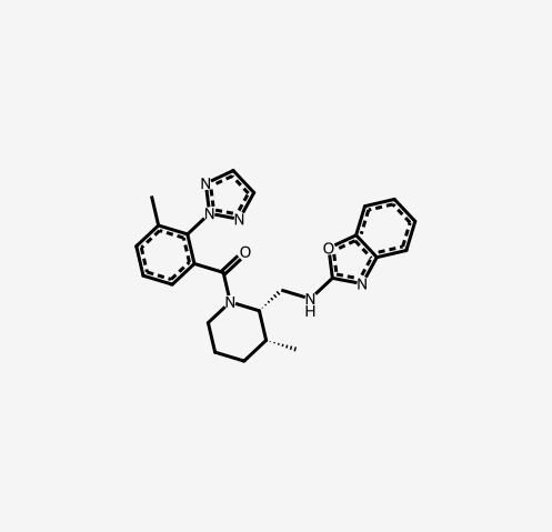 Cc1cccc(C(=O)N2CCC[C@@H](C)[C@H]2CNc2nc3ccccc3o2)c1-n1nccn1